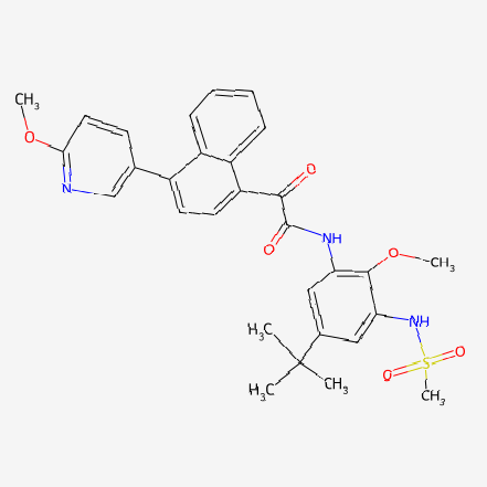 COc1ccc(-c2ccc(C(=O)C(=O)Nc3cc(C(C)(C)C)cc(NS(C)(=O)=O)c3OC)c3ccccc23)cn1